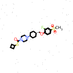 CS(=O)(=O)c1ccc(OC[C@H]2CC[C@H](N3CCN(C(=O)SC4CCC4)CC3)CC2)c(F)c1